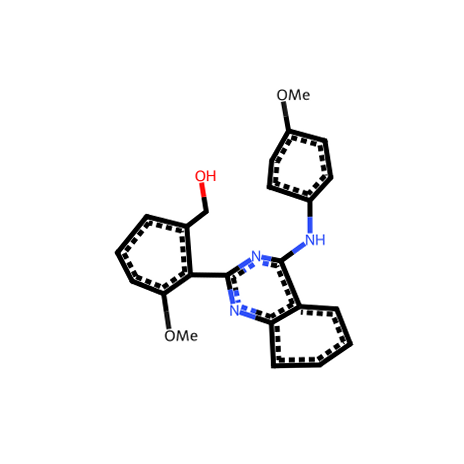 COc1ccc(Nc2nc(-c3c(CO)cccc3OC)nc3ccccc23)cc1